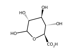 O=C(O)[C@H]1OC(O)[C@H](O)[C@@H](O)[C@@H]1O